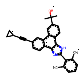 CC(C)(O)c1ccc2c(c1)c1cc(C#CC3CC3)ccc1c1nc(-c3c(C#N)cccc3C#N)[nH]c21